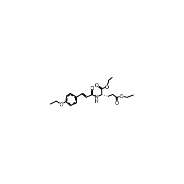 CCOC(=O)CC[C@H](NC(=O)/C=C/c1ccc(OCC)cc1)C(=O)OCC